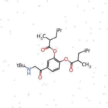 CC(C)CC(C)C(=O)Oc1ccc(C(=O)CNC(C)(C)C)cc1OC(=O)C(C)CC(C)C